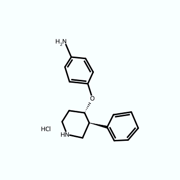 Cl.Nc1ccc(O[C@H]2CCNC[C@@H]2c2ccccc2)cc1